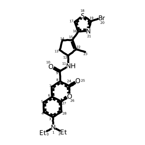 CCN(CC)c1ccc2cc(C(=O)NC3CCC(c4csc(Br)n4)=C3C)c(=O)oc2c1